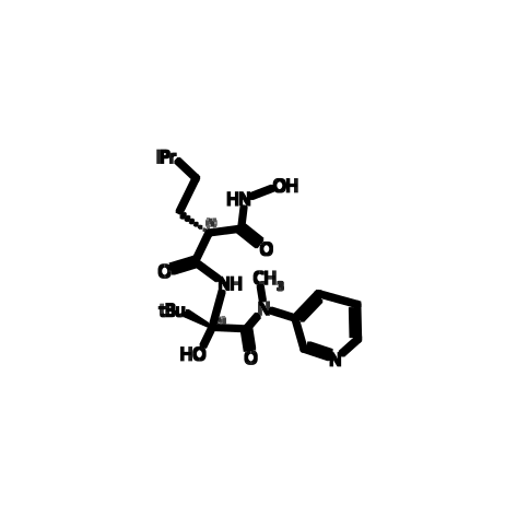 CC(C)CC[C@H](C(=O)NO)C(=O)N[C@@](O)(C(=O)N(C)c1cccnc1)C(C)(C)C